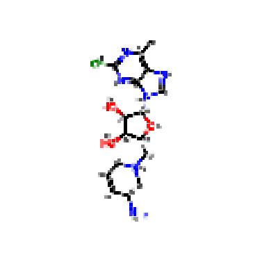 Cc1nc(Cl)nc2c1ncn2[C@@H]1O[C@H](CN(C)C/C=C\CN)[C@@H](O)[C@H]1O